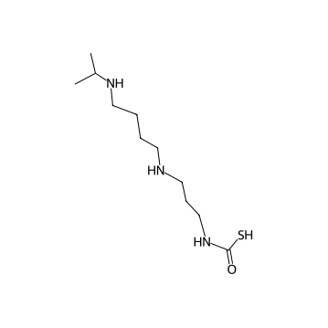 CC(C)NCCCCNCCCNC(=O)S